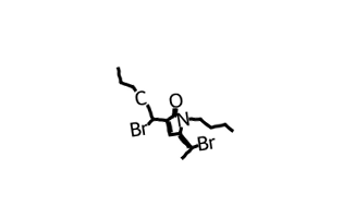 CCCCCC(Br)C1=C/C(=C(\C)Br)N(CCCC)C1=O